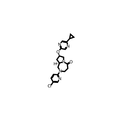 O=C1CCN(c2ccc(Cl)cn2)C[C@H]2C[C@@H](Oc3cnc(C4CC4)cn3)CN12